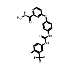 CNC(=O)c1nccc(Oc2ccc(NC(=O)Nc3ccc(Cl)c(C(F)(F)F)c3)cc2)n1